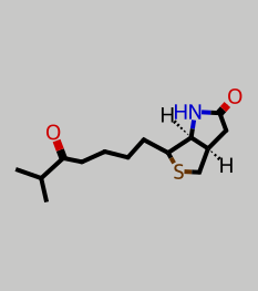 CC(C)C(=O)CCCCC1SC[C@@H]2CC(=O)N[C@H]12